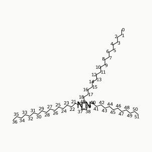 CCCCCCCCCCCCCCCCCCCc1n(CCCCCCCCCCCCCCCC)cc[n+]1CCCCCCCCCCCC